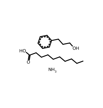 CCCCCCCCCC(=O)O.N.OCCCc1ccccc1